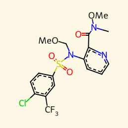 COCN(c1cccnc1C(=O)N(C)OC)S(=O)(=O)c1ccc(Cl)c(C(F)(F)F)c1